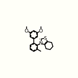 COc1cc(OC)cc(-c2cccc(C)c2N2[C]SC3=C2CCCC3)c1